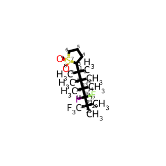 CC(C)(C1CCCS1(=O)=O)C(C)(C)C(C)(C)C(F)(I)C(C)(C)C(F)(F)F